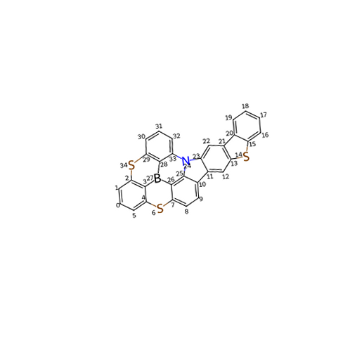 c1cc2c3c(c1)Sc1ccc4c5cc6sc7ccccc7c6cc5n5c4c1B3c1c(cccc1-5)S2